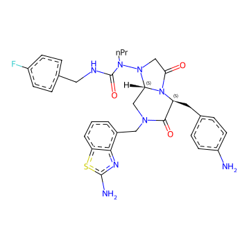 CCCN(C(=O)NCc1ccc(F)cc1)N1CC(=O)N2[C@@H](Cc3ccc(N)cc3)C(=O)N(Cc3cccc4sc(N)nc34)C[C@@H]21